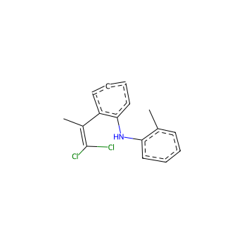 CC(=C(Cl)Cl)c1ccccc1Nc1ccccc1C